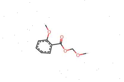 [CH2]OCOC(=O)c1ccccc1OC